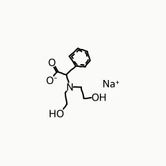 O=C([O-])C(c1ccccc1)N(CCO)CCO.[Na+]